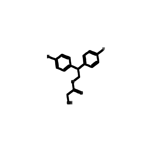 O=C(CO)OCC(c1ccc(F)cc1)c1ccc(F)cc1